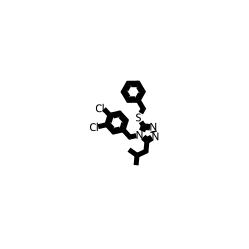 CC(C)Cc1nnc(SCc2ccccc2)n1Cc1ccc(Cl)c(Cl)c1